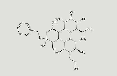 C[C@H]1O[C@@H]([C@H]2[C@H]([C@H]3O[C@H](CN)[C@@H](O)[C@H](O)[C@H]3N)[C@@H](N)C[C@](N)(OCc3ccccc3)[C@@H]2O)[C@H](O)[C@@H](CCO)[C@@H]1N